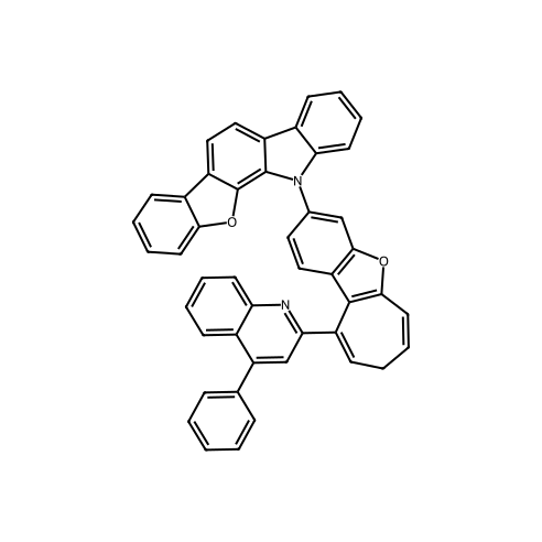 C1=Cc2oc3cc(-n4c5ccccc5c5ccc6c7ccccc7oc6c54)ccc3c2C(c2cc(-c3ccccc3)c3ccccc3n2)=CC1